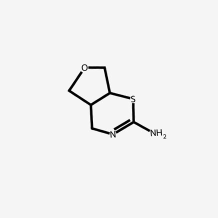 NC1=NCC2COCC2S1